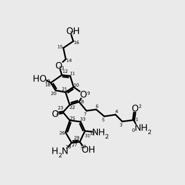 NC(=O)CCCCCc1oc2cc(OCCCO)c(O)cc2c1C(=O)c1cc(N)c(O)c(N)c1